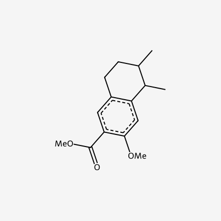 COC(=O)c1cc2c(cc1OC)C(C)C(C)CC2